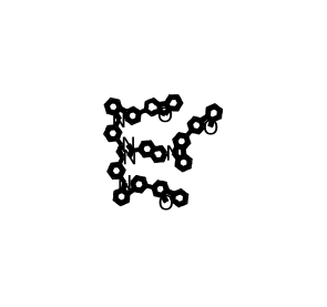 C1=c2oc3ccccc3c2=CCC1c1ccc2c(c1)c1ccccc1n2-c1cccc(-c2cc(-c3cccc(-n4c5ccccc5c5cc(-c6ccc7c(c6)oc6ccccc67)ccc54)c3)nc(-c3ccc4cc(-n5c6ccccc6c6cc(-c7ccc8c(c7)oc7ccccc78)ccc65)ccc4c3)n2)c1